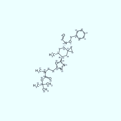 CC1C[C@H](N(C=O)OCc2ccccc2)C2(CC2)C[C@H]1c1nnc(CCN(C)C(=O)OC(C)(C)C)o1